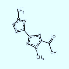 Cn1cnc(-c2nc(C(=O)O)n(C)n2)n1